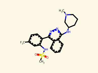 CN1CCC[C@@H](Nc2nnc(-c3ccc(C(F)(F)F)cc3NS(C)(=O)=O)c3ccccc23)C1